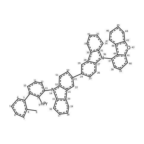 CCCc1c(-c2ccccc2C)cccc1-n1c2ccccc2c2cc(-c3ccc4c(c3)c3ccccc3n4-c3cccc4oc5ccccc5c34)ccc21